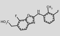 Cc1c(F)cccc1Nc1nc2ccc(CC(=O)O)c(F)c2o1